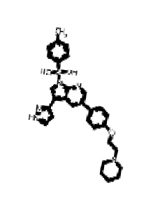 Cc1ccc(S(O)(O)n2cc(-c3cc[nH]n3)c3cc(-c4ccc(OCCN5CCCCC5)cc4)cnc32)cc1